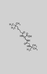 CC(C)(C)CSCCC(=O)N[C@H](CNC(=O)CNC(C)(C)C)C(=O)O